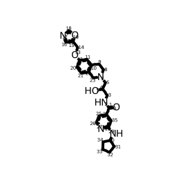 O=C(NCC(O)CN1CCc2cc(OCc3cnco3)ccc2C1)c1ccnc(NC2CCCC2)c1